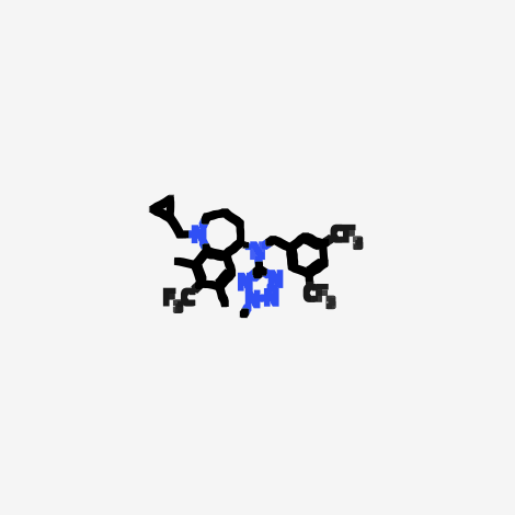 Cc1cc2c(c(C)c1C(F)(F)F)N(CC1CC1)CCC[C@@H]2N(Cc1cc(C(F)(F)F)cc(C(F)(F)F)c1)c1nnn(C)n1